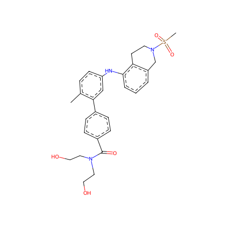 Cc1ccc(Nc2cccc3c2CCN(S(C)(=O)=O)C3)cc1-c1ccc(C(=O)N(CCO)CCO)cc1